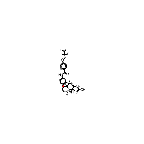 CC1(C)C(NC(=O)O)=N[C@](C)(c2nc(NC(=O)c3ccc(OCC(F)(F)C(F)F)cn3)ccc2F)[C@H]2CCCN[S@@]21O